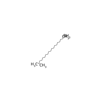 B.CCCCCCCCCCCCCCCCCC(C)C